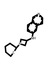 c1cc2cc(NC3CN(C4CCCCC4)C3)ccc2cn1